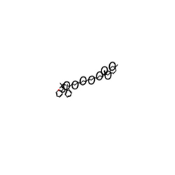 CC1CCC(OC(=O)COCCOCCOCCOCCO[Si](c2ccccc2)(c2ccccc2)C(C)(C)C)CO1